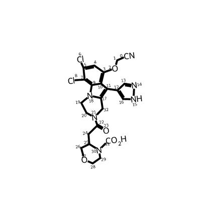 N#CCOc1cc(Cl)c(Cl)c2c1c(-c1cn[nH]c1)c1n2CCN(C(=O)CC2COCCN2C(=O)O)C1